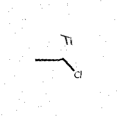 CCCl.[Ti]